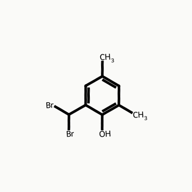 Cc1cc(C)c(O)c(C(Br)Br)c1